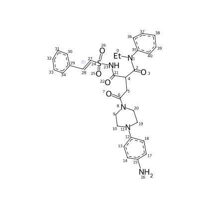 CCN(C(=O)C(CC(=O)N1CCN(c2ccc(N)cc2)CC1)C(=O)NS(=O)(=O)/C=C/c1ccccc1)c1ccccc1